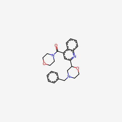 O=C(c1cc(C2CN(Cc3ccccc3)CCO2)nc2ccccc12)N1CCOCC1